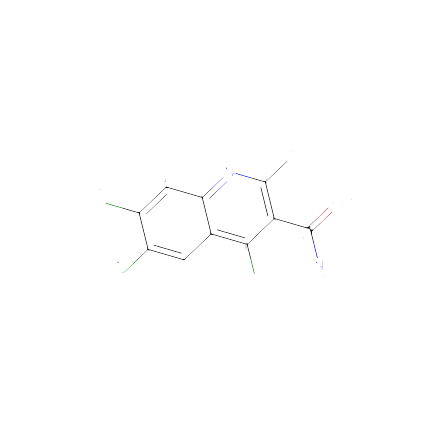 CCc1nc2cc(Cl)c(Cl)cc2c(Cl)c1C(N)=O